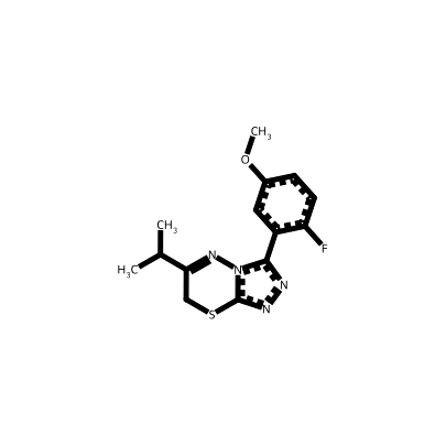 COc1ccc(F)c(-c2nnc3n2N=C(C(C)C)CS3)c1